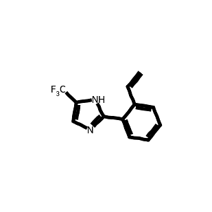 C=Cc1ccccc1-c1ncc(C(F)(F)F)[nH]1